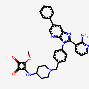 COc1c(NC2CCN(Cc3ccc(-n4c(-c5cccnc5N)nc5cc(-c6ccccc6)cnc54)cc3)CC2)c(=O)c1=O